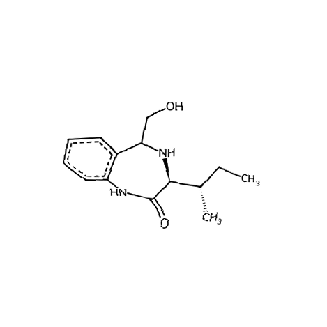 CC[C@H](C)[C@@H]1NC(CO)c2ccccc2NC1=O